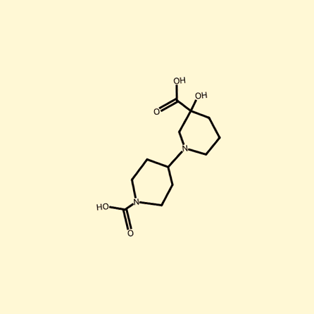 O=C(O)N1CCC(N2CCCC(O)(C(=O)O)C2)CC1